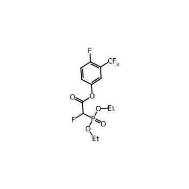 CCOP(=O)(OCC)C(F)C(=O)Oc1ccc(F)c(C(F)(F)F)c1